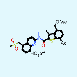 COCc1ccc(C(C)=O)c2sc(C(=O)Nc3ccc4c(CS(C)(=O)=O)cccc4n3)c(C)c12.CS(=O)(=O)O